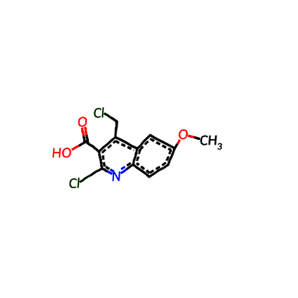 COc1ccc2nc(Cl)c(C(=O)O)c(CCl)c2c1